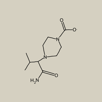 CC(C)C(C(N)=O)N1CCN(C([O])=O)CC1